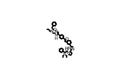 CCCN(Cc1ncc(-c2ccc(-c3cc4cc(-c5cnc(C6CCCN6C(=O)C(c6ccccc6)N(CC)CC)[nH]5)ccc4o3)cc2)[nH]1)C(=O)Cc1ccccc1